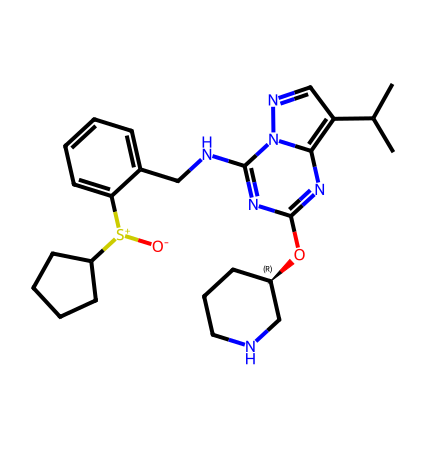 CC(C)c1cnn2c(NCc3ccccc3[S+]([O-])C3CCCC3)nc(O[C@@H]3CCCNC3)nc12